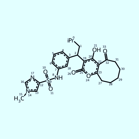 CC(C)CC(c1cccc(NS(=O)(=O)c2cn(C)cn2)c1)c1c(O)c2c(oc1=O)CCCCCC2=O